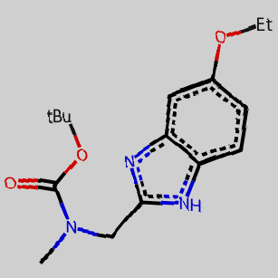 CCOc1ccc2[nH]c(CN(C)C(=O)OC(C)(C)C)nc2c1